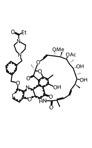 CCC(=O)N1CCN(Cc2cccc(COc3cccc4oc5c6c(=O)c7c(O)c(C)c8c(c7c-5nc34)C(=O)[C@@](C)(O/C=C/[C@H](OC)[C@@H](C)[C@@H](OC(C)=O)[C@H](C)[C@H](O)[C@H](C)[C@@H](O)[C@@H](C)/C=C/C=C(/C)C(=O)N6)O8)c2)CC1